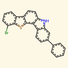 Brc1cccc2c1sc1c2ccc2[nH]c3cc(-c4ccccc4)ccc3c21